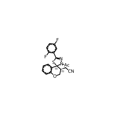 CC(=O)N1N=C(c2cc(F)ccc2F)S[C@@]12c1ccccc1OC[C@@H]2CC#N